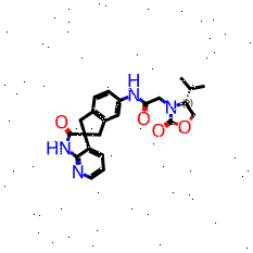 CC(C)[C@@H]1COC(=O)N1CC(=O)Nc1ccc2c(c1)CC1(C2)C(=O)Nc2ncccc21